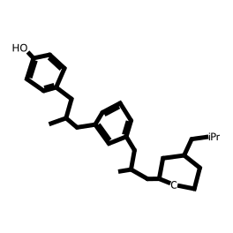 CC(C)CC1CCCC(CC(C)Cc2cccc(CC(C)Cc3ccc(O)cc3)c2)C1